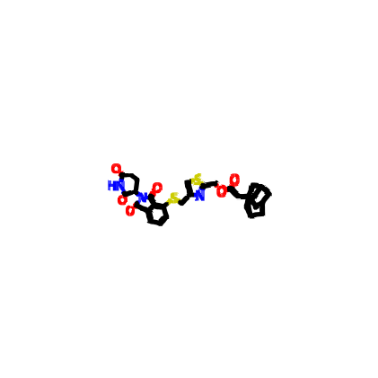 O=C1CCC(N2C(=O)c3cccc(SCc4csc(COC(=O)CC56CC7CC(CC(C7)C5)C6)n4)c3C2=O)C(=O)N1